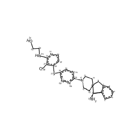 N[C@@H]1c2ccccc2CC12CCN(c1ncc(Sc3ccnc(NCCO)c3Cl)nn1)CC2